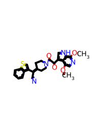 COc1ncc(OC)c2c(C(=O)C(=O)N3CCC(=C(C#N)c4csc5ccccc45)CC3)c[nH]c12